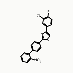 O=[N+]([O-])c1ccccc1-c1ccc(-c2nc(-c3ccc(F)c(Cl)c3)cs2)cc1